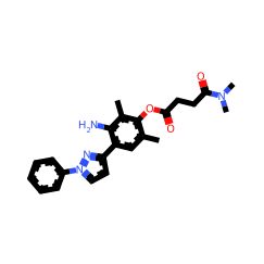 Cc1cc(-c2ccn(-c3ccccc3)n2)c(N)c(C)c1OC(=O)CCC(=O)N(C)C